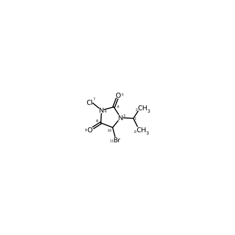 CC(C)N1C(=O)N(Cl)C(=O)C1Br